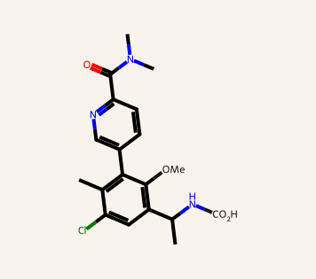 COc1c(C(C)NC(=O)O)cc(Cl)c(C)c1-c1ccc(C(=O)N(C)C)nc1